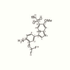 COc1cc2ncc(-c3ccc(N)c(OC(F)F)c3)n2cc1S(=O)(=O)C(C)(C)C